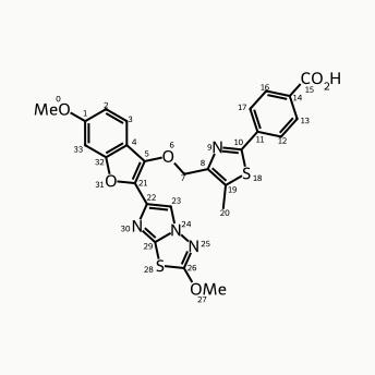 COc1ccc2c(OCc3nc(-c4ccc(C(=O)O)cc4)sc3C)c(-c3cn4nc(OC)sc4n3)oc2c1